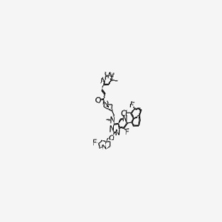 Cc1cc(C=CC(=O)N2CC(CN(C)c3nc(OC[C@@]45CCCN4C[C@H](F)C5)nc4c(F)c(-c5cccc6ccc(F)c(Cl)c56)ncc34)C2)nc(C)n1